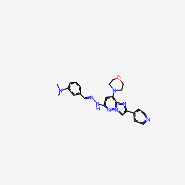 CN(C)c1cccc(/C=N/Nc2cc(N3CCOCC3)c3nc(-c4ccncc4)cn3n2)c1